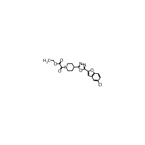 CCOC(=O)C(=O)N1CCC(c2nnc(-c3cc4cc(Cl)ccc4o3)o2)CC1